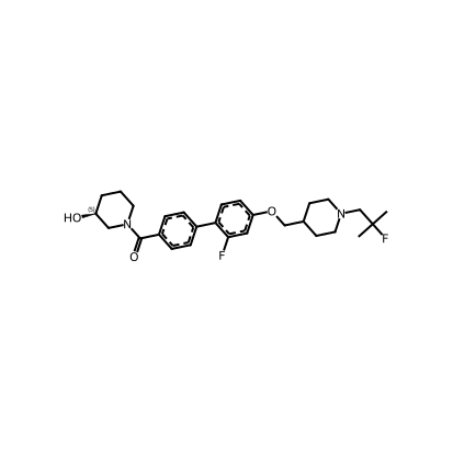 CC(C)(F)CN1CCC(COc2ccc(-c3ccc(C(=O)N4CCC[C@H](O)C4)cc3)c(F)c2)CC1